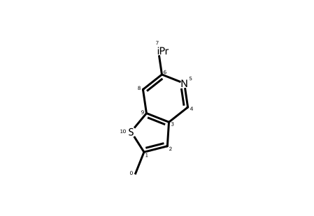 Cc1cc2cnc(C(C)C)cc2s1